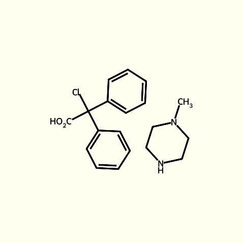 CN1CCNCC1.O=C(O)C(Cl)(c1ccccc1)c1ccccc1